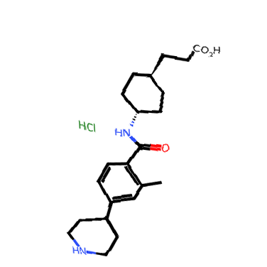 Cc1cc(C2CCNCC2)ccc1C(=O)N[C@H]1CC[C@H](CCC(=O)O)CC1.Cl